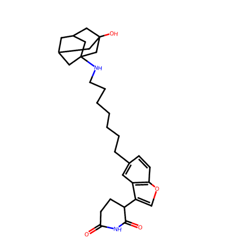 O=C1CCC(c2coc3ccc(CCCCCCCNC45CC6CC(CC(O)(C6)C4)C5)cc23)C(=O)N1